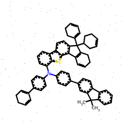 CC1(C)c2ccccc2-c2ccc(-c3ccc(N(c4ccc(C5=CCCC=C5)cc4)c4cccc5c4sc4c6c(ccc45)C(C4=CC=CCC4)(C4CC=CCC4)C4=C6C=CCC4)cc3)cc21